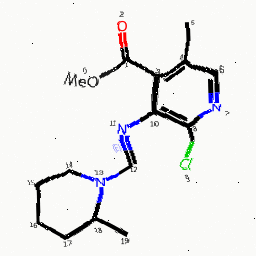 COC(=O)c1c(C)cnc(Cl)c1/N=C/N1CCCCC1C